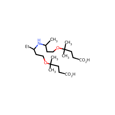 CCC(CCOC(C)(C)CCC(=O)O)NC(C)CCOC(C)(C)CCC(=O)O